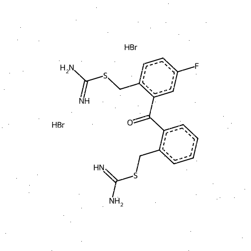 Br.Br.N=C(N)SCc1ccccc1C(=O)c1cc(F)ccc1CSC(=N)N